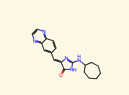 O=C1NC(NC2CCCCCC2)=N/C1=C\c1ccc2nccnc2c1